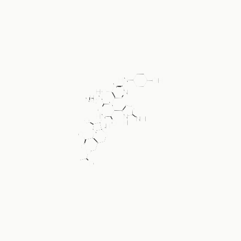 CC(=O)OCC1=C(C(=O)[O-])N2C(=O)[C@@H](NC(=O)C(c3csc(=N)[nH]3)N(C(N)=O)c3cnc(NC4CCC(O)CC4)nc3O)[C@@H]2SC1.[Na+]